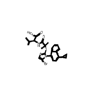 CC(C)C(NC(=O)C(C)(C)Sc1ncc(Br)n1-c1ccc(C2CC2)c2ccccc12)C(=O)O